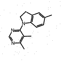 Cc1ccc2c(c1)CCN2c1ncnc(C)c1C